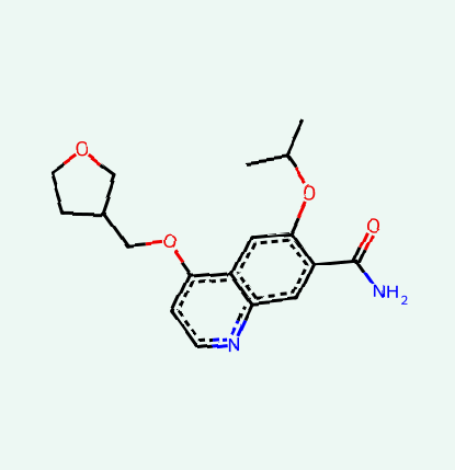 CC(C)Oc1cc2c(OCC3CCOC3)ccnc2cc1C(N)=O